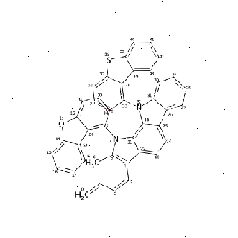 C=C/C=C\c1c(C)n(-c2cccc3oc4ccccc4c23)c2c1ccc1c3ccccc3n(-c3cccc4sc5ccccc5c34)c12